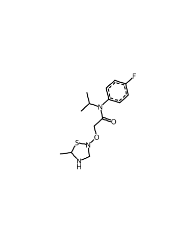 CC1NCN(OCC(=O)N(c2ccc(F)cc2)C(C)C)S1